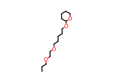 CCCOCCOCCCCCOC1CCCCO1